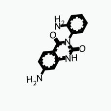 Nc1ccc2c(=O)n(-c3ccccc3N)c(=O)[nH]c2c1